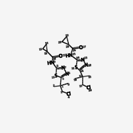 CC(C)(CCl)c1nnc(NC(=O)C2CC2)s1.CC(C)(CCl)c1nnc(NC(=O)C2CC2)s1